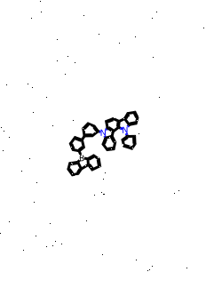 c1ccc(-n2c3ccccc3c3ccc4c(c5ccccc5n4-c4cccc(-c5cccc(B6c7ccccc7-c7ccccc76)c5)c4)c32)cc1